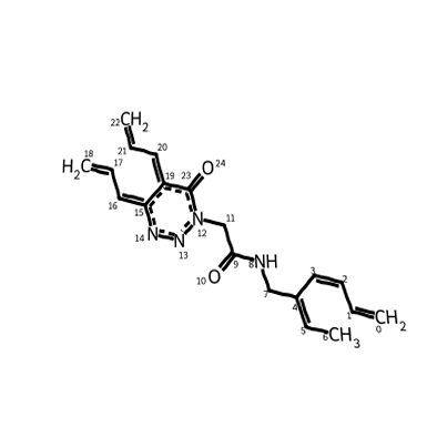 C=C/C=C\C(=C/C)CNC(=O)Cn1nnc(=C/C=C)/c(=C\C=C)c1=O